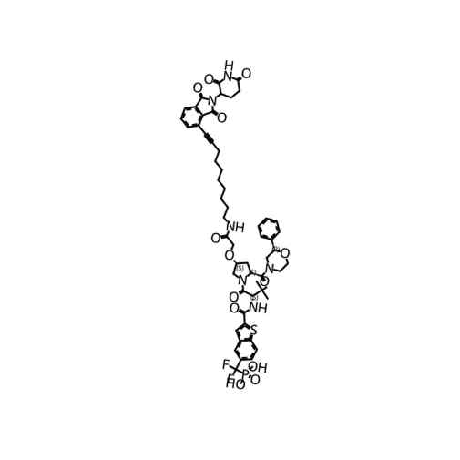 CC(C)(C)[C@H](NC(=O)c1cc2cc(C(F)(F)P(=O)(O)O)ccc2s1)C(=O)N1C[C@@H](OCC(=O)NCCCCCCCCC#Cc2cccc3c2C(=O)N(C2CCC(=O)NC2=O)C3=O)C[C@H]1C(=O)N1CCO[C@H](c2ccccc2)C1